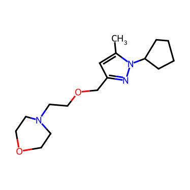 Cc1cc(COCCN2CCOCC2)nn1C1CCCC1